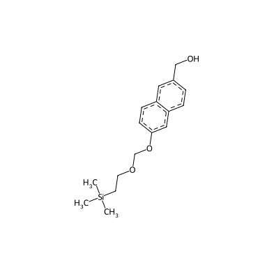 C[Si](C)(C)CCOCOc1ccc2cc(CO)ccc2c1